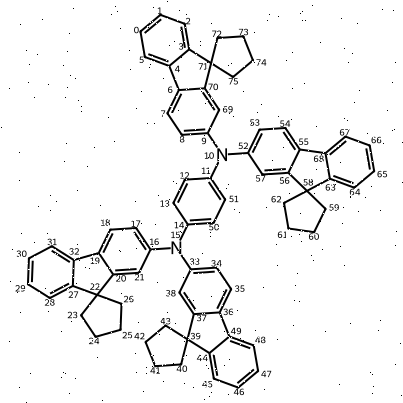 c1ccc2c(c1)-c1ccc(N(c3ccc(N(c4ccc5c(c4)C4(CCCC4)c4ccccc4-5)c4ccc5c(c4)C4(CCCC4)c4ccccc4-5)cc3)c3ccc4c(c3)C3(CCCC3)c3ccccc3-4)cc1C21CCCC1